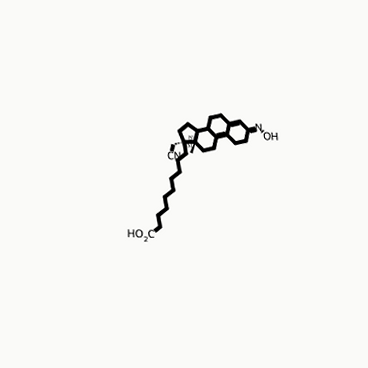 C[C@]12CCC3=C4CCC(=NO)C=C4CCC3C1CC[C@]2(CC#N)CCCCCCCCCC(=O)O